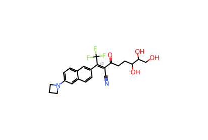 N#C/C(C(=O)CCC(O)C(O)CO)=C(\c1ccc2cc(N3CCC3)ccc2c1)C(F)(F)F